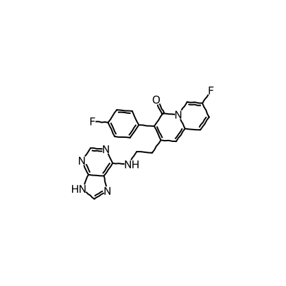 O=c1c(-c2ccc(F)cc2)c(CCNc2ncnc3[nH]cnc23)cc2ccc(F)cn12